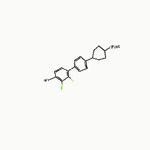 CCCCCC1CCC(c2ccc(-c3ccc(CCC)c(F)c3F)cc2)CC1